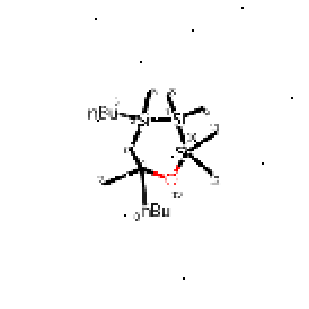 CCCCC1(C)C[Si](C)(CCCC)[Si](C)(C)[Si](C)(C)O1